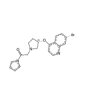 O=C(CN1CC[C@H](Oc2ccnc3cc(Br)ccc23)C1)n1cccc1